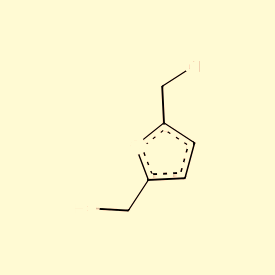 OCc1ccc(CCl)o1